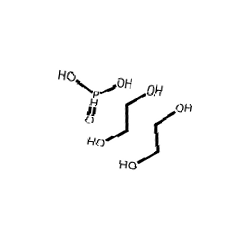 O=[PH](O)O.OCCO.OCCO